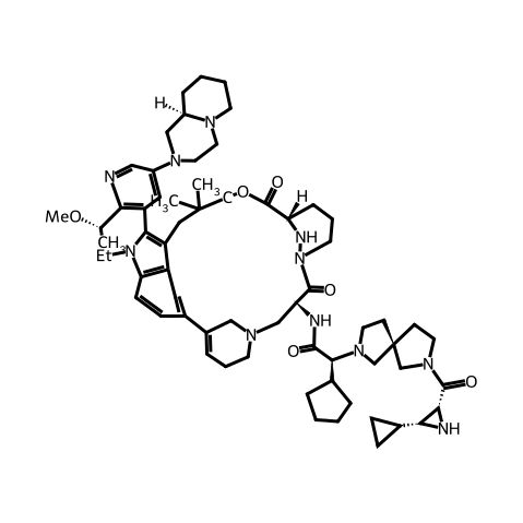 CCn1c(-c2cc(N3CCN4CCCC[C@@H]4C3)cnc2[C@H](C)OC)c2c3cc(ccc31)C1=CCCN(C1)C[C@H](NC(=O)[C@H](C1CCCC1)N1CC[C@]3(CCN(C(=O)[C@@H]4N[C@@H]4C4CC4)C3)C1)C(=O)N1CCC[C@H](N1)C(=O)OCC(C)(C)C2